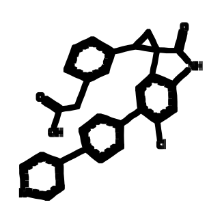 O=C(O)Cc1cccc(C2CC23C(=O)Nc2cc(Cl)c(-c4ccc(-c5ccncc5)cc4)cc23)c1